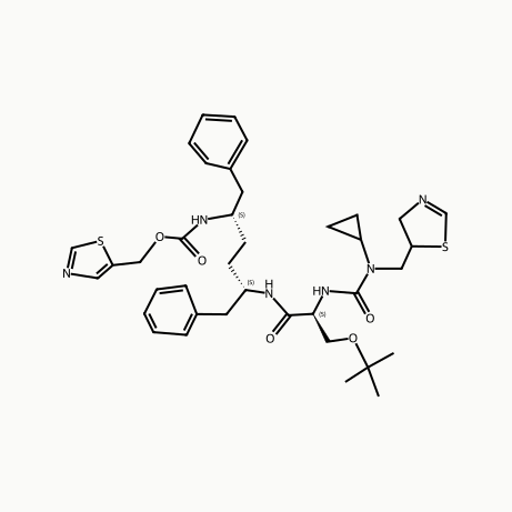 CC(C)(C)OC[C@H](NC(=O)N(CC1CN=CS1)C1CC1)C(=O)N[C@@H](CC[C@@H](Cc1ccccc1)NC(=O)OCc1cncs1)Cc1ccccc1